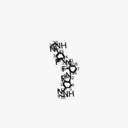 CN(Cc1ccc(C2=NCCN2)cc1F)c1cccc(N(C)Cc2ccc(C3=NCCN3)cc2F)c1F